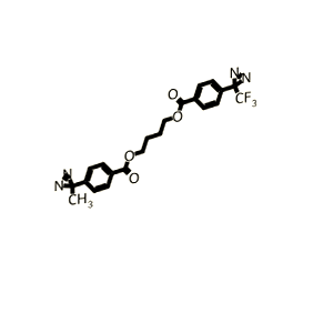 CC1(c2ccc(C(=O)OCCCCOC(=O)c3ccc(C4(C(F)(F)F)N=N4)cc3)cc2)N=N1